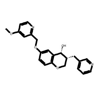 COc1ccnc(COc2ccc3c(c2)[C@H](O)[C@H](Cc2cccnc2)CO3)c1